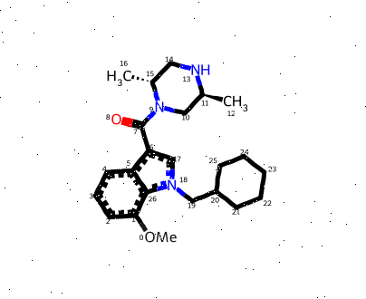 COc1cccc2c(C(=O)N3C[C@H](C)NC[C@H]3C)cn(CC3CCCCC3)c12